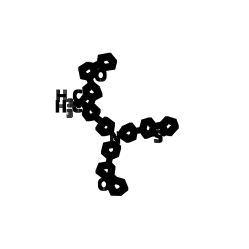 CC1(C)c2ccc(-c3ccc(N(c4ccc(-c5ccc6c(c5)sc5ccccc56)cc4)c4ccc(-c5ccc6oc7ccccc7c6c5)cc4)cc3)cc2-c2ccc(-c3cccc4c3oc3ccccc34)cc21